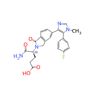 Cn1cnc(-c2ccc3c(c2)CN([C@@H](CCC(=O)O)C(N)=O)C3=O)c1-c1ccc(F)cc1